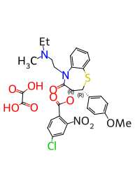 CCN(C)CCN1C(=O)[C@@H](OC(=O)c2ccc(Cl)cc2[N+](=O)[O-])[C@@H](c2ccc(OC)cc2)Sc2ccccc21.O=C(O)C(=O)O